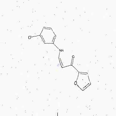 O=C(/C=C\Nc1cccc(Cl)c1)c1ccco1